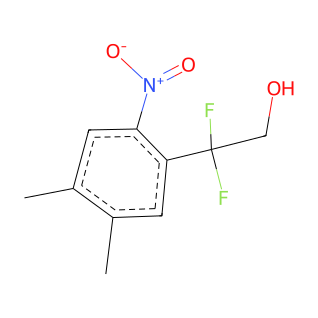 Cc1cc([N+](=O)[O-])c(C(F)(F)CO)cc1C